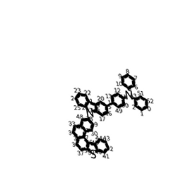 c1ccc(N(c2ccccc2)c2ccc(-c3ccc4c(c3)c3ccccc3n4-c3ccc4c(ccc5ccc6sc7ccccc7c6c54)c3)cc2)cc1